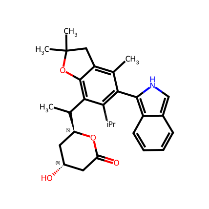 Cc1c2c(c(C(C)[C@@H]3C[C@@H](O)CC(=O)O3)c(C(C)C)c1-c1[nH]cc3ccccc13)OC(C)(C)C2